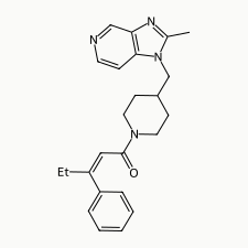 CC/C(=C/C(=O)N1CCC(Cn2c(C)nc3cnccc32)CC1)c1ccccc1